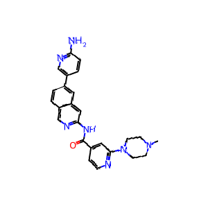 CN1CCN(c2cc(C(=O)Nc3cc4cc(-c5ccc(N)nc5)ccc4cn3)ccn2)CC1